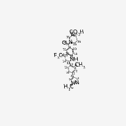 Cc1cc(-c2cnn(C)c2)ccc1C(CCC(F)(F)F)Nc1ccc(C(=O)N2CCC[C@@H](C(=O)O)C2)cc1